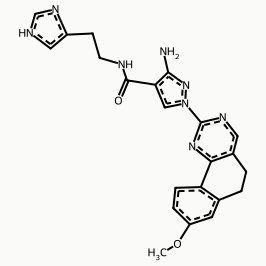 COc1ccc2c(c1)CCc1cnc(-n3cc(C(=O)NCCc4c[nH]cn4)c(N)n3)nc1-2